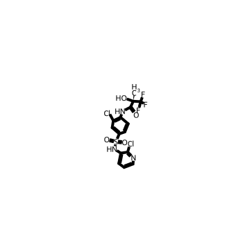 C[C@@](O)(C(=O)Nc1ccc(S(=O)(=O)Nc2cccnc2Cl)cc1Cl)C(F)(F)F